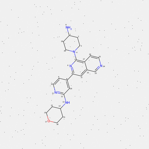 NC1CCN(c2nc(-c3ccnc(NC4CCOCC4)c3)cc3cnccc23)CC1